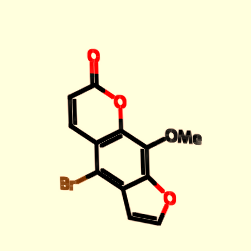 COc1c2occc2c(Br)c2ccc(=O)oc12